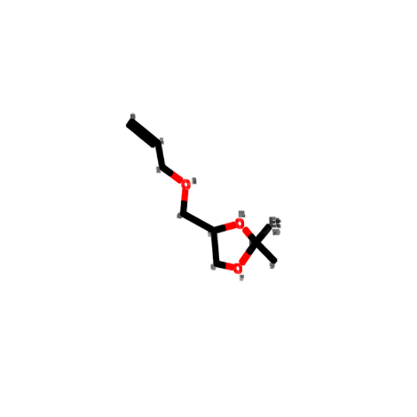 C=CCOCC1COC(C)(CC)O1